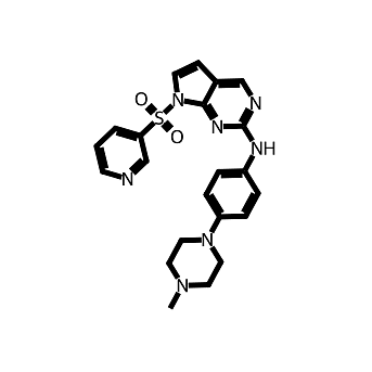 CN1CCN(c2ccc(Nc3ncc4ccn(S(=O)(=O)c5cccnc5)c4n3)cc2)CC1